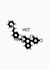 Cl.Clc1ccc(C2Cc3cnc(Nc4ccc(CCN5CCCCC5)cc4)nc3-c3ccccc32)c(Cl)c1